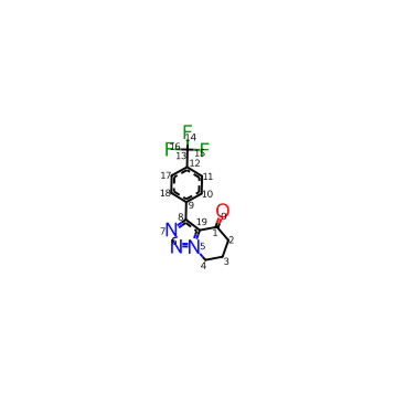 O=C1CCCn2nnc(-c3ccc(C(F)(F)F)cc3)c21